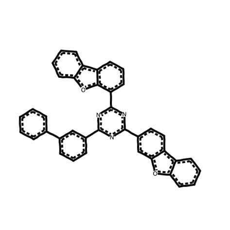 c1ccc(-c2cccc(-c3nc(-c4ccc5c(c4)oc4ccccc45)nc(-c4cccc5c4oc4ccccc45)n3)c2)cc1